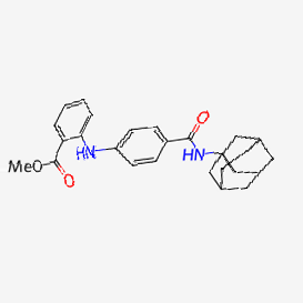 COC(=O)c1ccccc1Nc1ccc(C(=O)NC23CC4CC(CC(C4)C2)C3)cc1